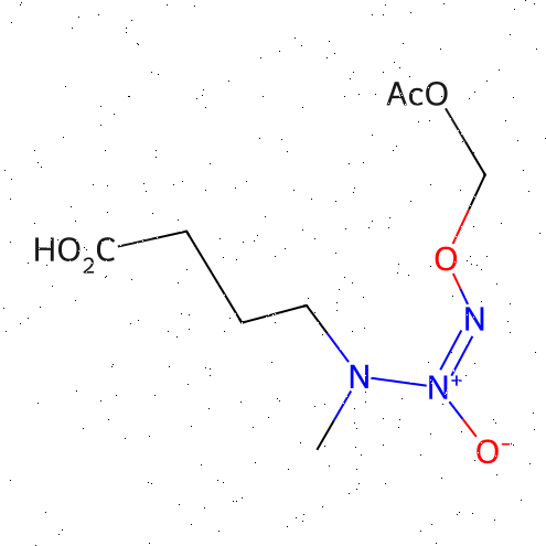 CC(=O)OCO/N=[N+](/[O-])N(C)CCCC(=O)O